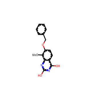 COc1c(OCc2ccccc2)ccc2c(O)nc(O)nc12